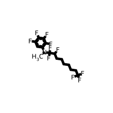 CN(c1cc(F)c(F)c(F)c1F)C(F)(F)C(F)CCCCCCC(F)(F)F